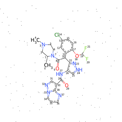 CC1CN(C)CCN1C(=O)C(c1cc(Cl)ccc1OC(F)F)c1n[nH]cc1NC(=O)c1cnn2cccnc12